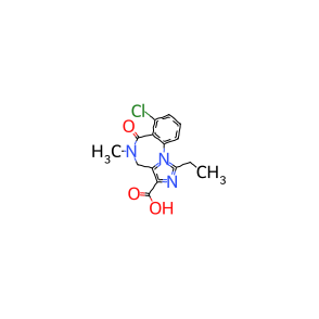 CCc1nc(C(=O)O)c2n1-c1cccc(Cl)c1C(=O)N(C)C2